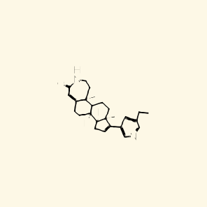 CCc1cncc(C2=CC[C@H]3[C@@H]4CCC5=CC(=O)NCC[C@]5(C)C4CC[C@]23C)c1